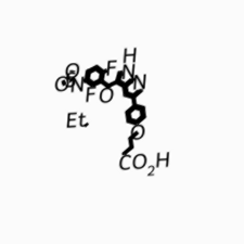 CCC.O=C(O)CCCOc1ccc(-c2cnc3[nH]cc(C(=O)c4c(F)ccc(N=S(=O)=O)c4F)c3c2)cc1